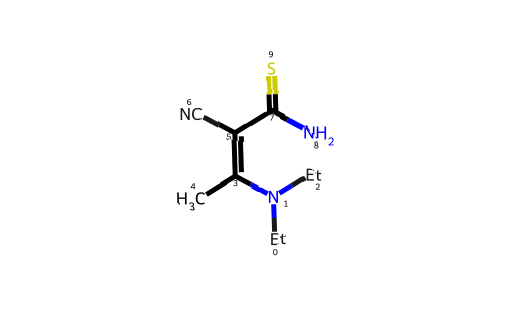 CCN(CC)/C(C)=C(/C#N)C(N)=S